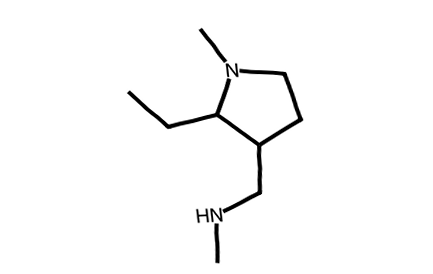 CCC1C(CNC)CCN1C